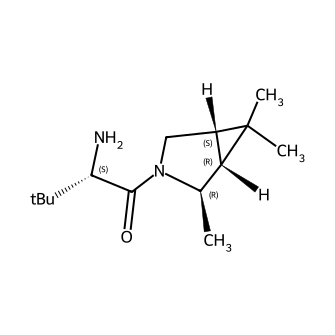 C[C@@H]1[C@@H]2[C@H](CN1C(=O)[C@@H](N)C(C)(C)C)C2(C)C